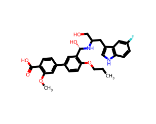 CCCOc1ccc(-c2ccc(C(=O)O)c(OC)c2)cc1[C@H](O)NC(CO)Cc1c[nH]c2ccc(F)cc12